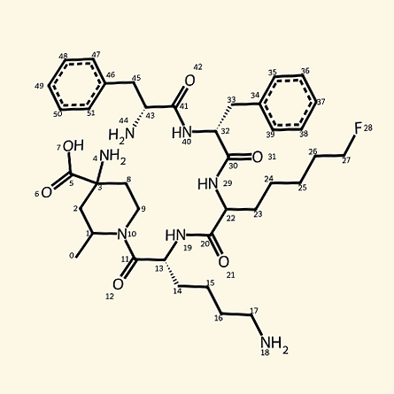 CC1CC(N)(C(=O)O)CCN1C(=O)[C@@H](CCCCN)NC(=O)C(CCCCCF)NC(=O)[C@@H](Cc1ccccc1)NC(=O)[C@H](N)Cc1ccccc1